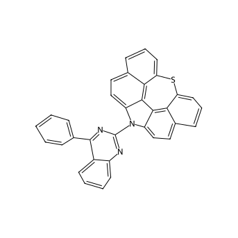 c1ccc(-c2nc(-n3c4ccc5cccc6sc7cccc8ccc3c(c87)c4c56)nc3ccccc23)cc1